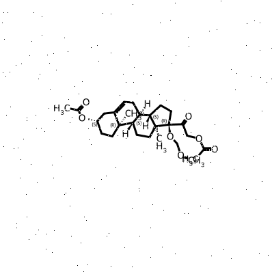 COCO[C@]1(C(=O)COC(C)=O)CC[C@H]2[C@@H]3CC=C4C[C@@H](OC(C)=O)CC[C@]4(C)[C@H]3CC[C@@]21C